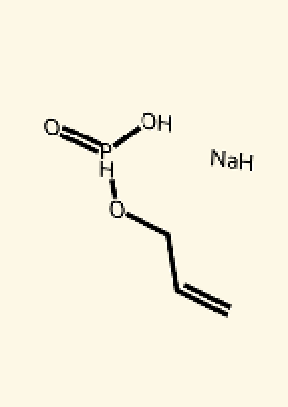 C=CCO[PH](=O)O.[NaH]